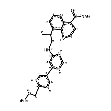 CNC(=O)c1ccnc2c([C@H](C)CNc3cc(-c4cnc(COC(C)C)nc4)ncn3)cccc12